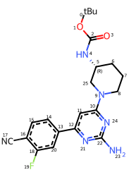 CC(C)(C)OC(=O)N[C@@H]1CCCN(c2cc(-c3ccc(C#N)c(F)c3)nc(N)n2)C1